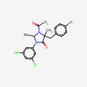 CC(C)(C)C1N(c2cc(Cl)cc(Cl)c2)C(=O)C(C)(Cc2ccc(Br)cc2)N1C(=O)C(F)(F)F